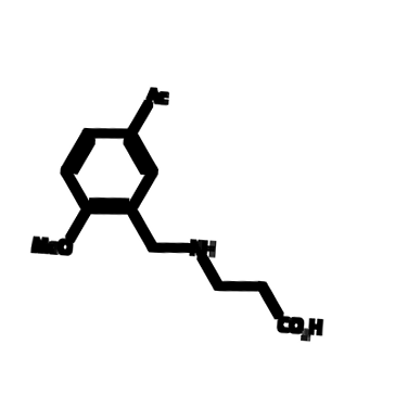 COc1ccc(C(C)=O)cc1CNCCC(=O)O